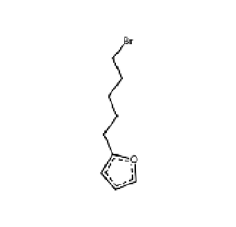 BrCCCCCc1ccco1